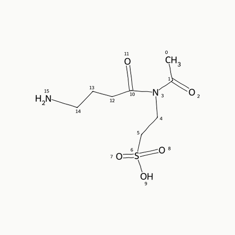 CC(=O)N(CCS(=O)(=O)O)C(=O)CCCN